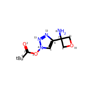 CC(C)(C)C(=O)On1cc(C2(N)COC2)nn1